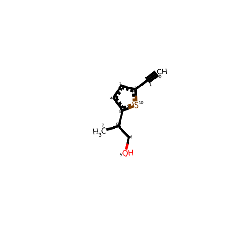 C#Cc1ccc(C(C)CO)s1